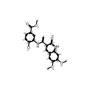 C=C(Nc1cc(C(=O)OC)ccc1Cl)c1cc2cc(OC)c(OC)cc2[nH]c1=O